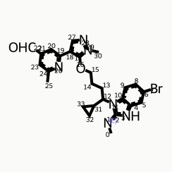 C/N=c1\[nH]c2cc(Br)ccc2n1C(CCCOc1c(-c2cc(C=O)cc(C)n2)cnn1C)C1CC1